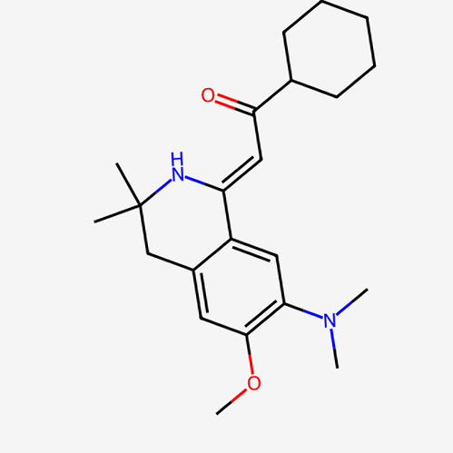 COc1cc2c(cc1N(C)C)/C(=C/C(=O)C1CCCCC1)NC(C)(C)C2